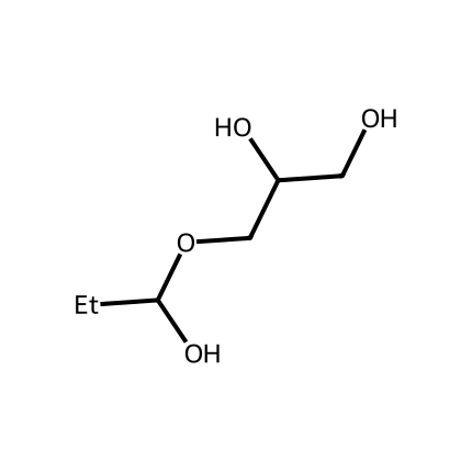 [CH2]CC(O)OCC(O)CO